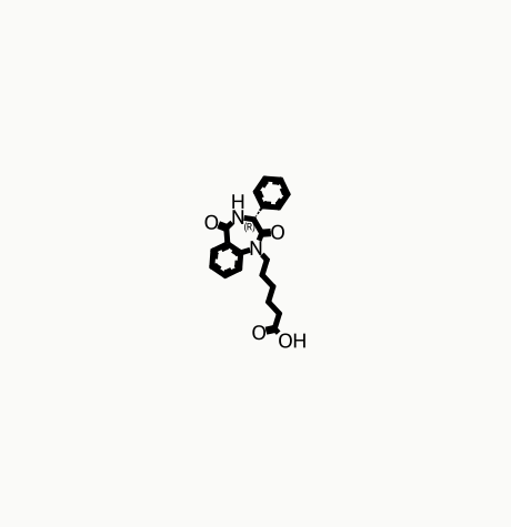 O=C(O)CCCCCN1C(=O)[C@@H](c2ccccc2)NC(=O)c2ccccc21